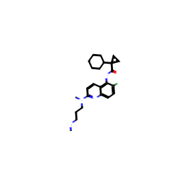 CNCCCN(C)c1ccc2c(NC(=O)C3(C4CCCCC4)CC3)c(Cl)ccc2n1